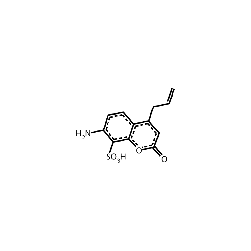 C=CCc1cc(=O)oc2c(S(=O)(=O)O)c(N)ccc12